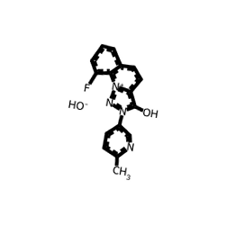 Cc1ccc(-n2n[n+]3c(ccc4cccc(F)c43)c2O)cn1.[OH-]